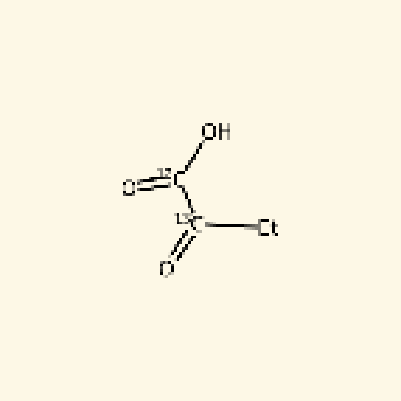 [13CH3][13CH2][13C](=O)[13C](=O)O